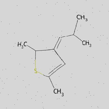 CC1=CC(=CC(C)C)C(C)S1